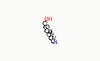 C[C@]12CC=C3C=C4CC[C@@H](O)C[C@@]45CC[C@@]3(C5)[C@H]1CC[C@H]2c1ccc2ccncc2c1